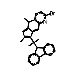 CC1=C(C(C)(C)C2c3ccccc3-c3ccccc32)C2=Cc3nc(Br)ccc3C(C)C2=C1